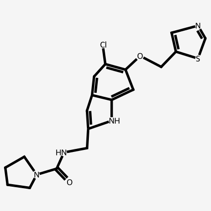 O=C(NCc1cc2cc(Cl)c(OCc3cncs3)cc2[nH]1)N1CCCC1